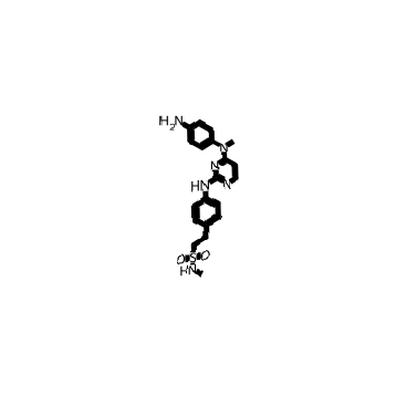 CNS(=O)(=O)CCc1ccc(Nc2nccc(N(C)c3ccc(N)cc3)n2)cc1